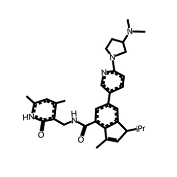 CC1=CC(C(C)C)c2cc(-c3ccc(N4CCC(N(C)C)C4)nc3)cc(C(=O)NCc3c(C)cc(C)[nH]c3=O)c21